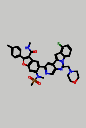 CNC(=O)c1c(-c2ccc(C)cc2)oc2cc(N(C)S(C)(=O)=O)c(-c3cc4c(cn3)nc(CN3CCOCC3)n3c5cccc(F)c5cc43)cc12